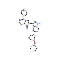 c1cc(-c2nccc3[nH]c(-c4n[nH]c5cnc(-c6cncc(OC7CCCCC7)c6)cc45)cc23)ccn1